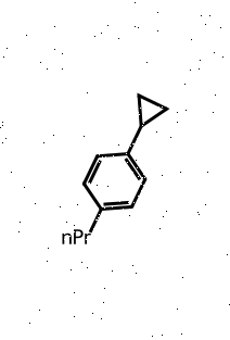 CCCc1ccc(C2CC2)cc1